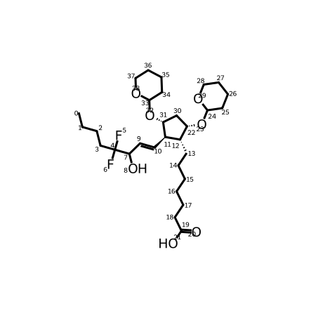 CCCCC(F)(F)C(O)/C=C/[C@@H]1[C@@H](CCCCCCC(=O)O)[C@@H](OC2CCCCO2)C[C@H]1OC1CCCCO1